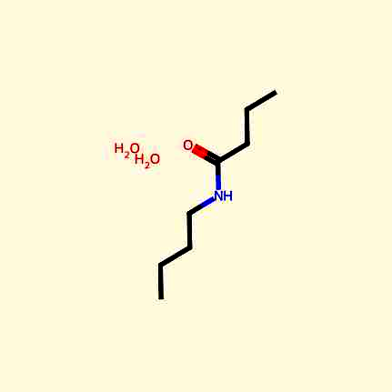 CCCCNC(=O)CCC.O.O